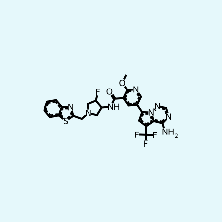 COc1ncc(-c2cc(C(F)(F)F)c3c(N)ncnn23)cc1C(=O)NC1CN(Cc2nc3ccccc3s2)CC1F